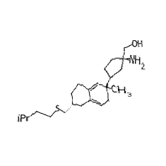 CC(C)CCSC[C@@H]1CCC2=CC(C)([C@H]3CC[C@](N)(CO)C3)CC=C2C1